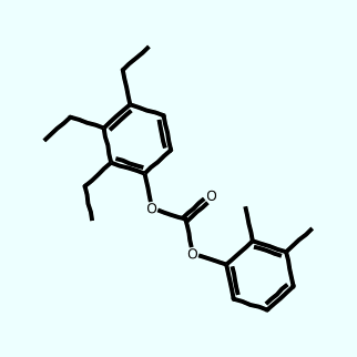 CCc1ccc(OC(=O)Oc2cccc(C)c2C)c(CC)c1CC